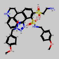 COc1ccc(CNS(=O)(=O)c2c(S(=O)(=O)CCN)ccc(C3CCNc4ccccc43)c2-c2nnn(Cc3ccc(OC)cc3)n2)cc1